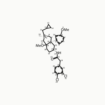 COc1cccc([C@@]23CC[N@+](C)(CC4CC4)CC2(OC)CC[C@@H](NC(=O)Cc2ccc(Cl)c(Cl)c2)C3)c1